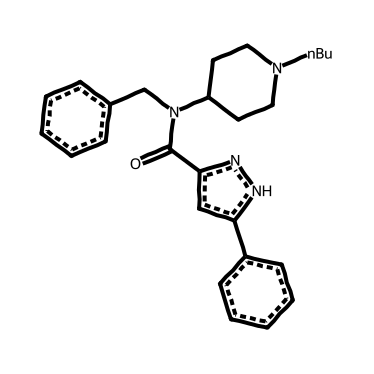 CCCCN1CCC(N(Cc2ccccc2)C(=O)c2cc(-c3ccccc3)[nH]n2)CC1